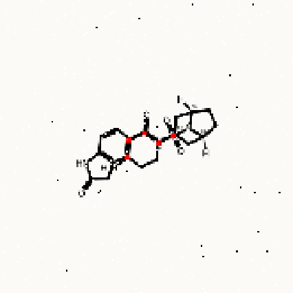 NC1CCN(S(=O)(=O)N2[C@@H]3CC[C@H]2C[C@H](NC(=O)c2ccc4c(c2)CC(=O)N4)C3)CC1